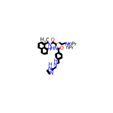 CCCN(CCC)CCC[C@H](NC(=O)c1ccc(CNCc2ncc[nH]2)cc1)C(=O)N[C@@H](C)c1cccc2ccccc12